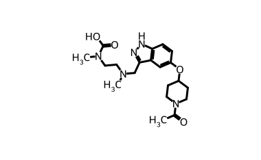 CC(=O)N1CCC(Oc2ccc3[nH]nc(CN(C)CCN(C)C(=O)O)c3c2)CC1